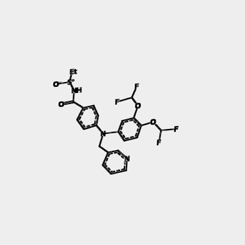 CC[S+]([O-])NC(=O)c1ccc(N(Cc2cccnc2)c2ccc(OC(F)F)c(OC(F)F)c2)cc1